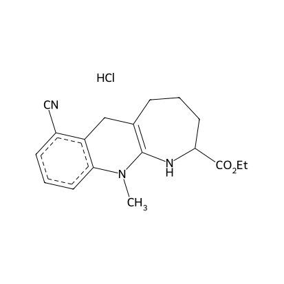 CCOC(=O)C1CCCC2=C(N1)N(C)c1cccc(C#N)c1C2.Cl